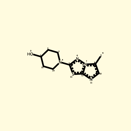 OC1CCN(c2nn3c(I)cnc3s2)CC1